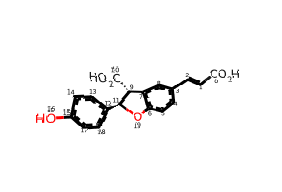 O=C(O)/C=C/c1ccc2c(c1)[C@@H](C(=O)O)[C@H](c1ccc(O)cc1)O2